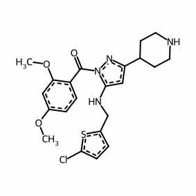 COc1ccc(C(=O)n2nc(C3CCNCC3)cc2NCc2ccc(Cl)s2)c(OC)c1